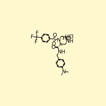 CN(C)c1ccc(CNC(=O)[C@H]2CNCCN2S(=O)(=O)c2ccc(C(F)(F)F)cc2)cc1.Cl.Cl